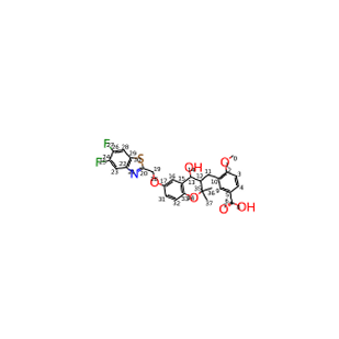 COc1ccc(C(=O)O)cc1CC1C(O)c2cc(OCc3nc4cc(F)c(F)cc4s3)ccc2OC1(C)C